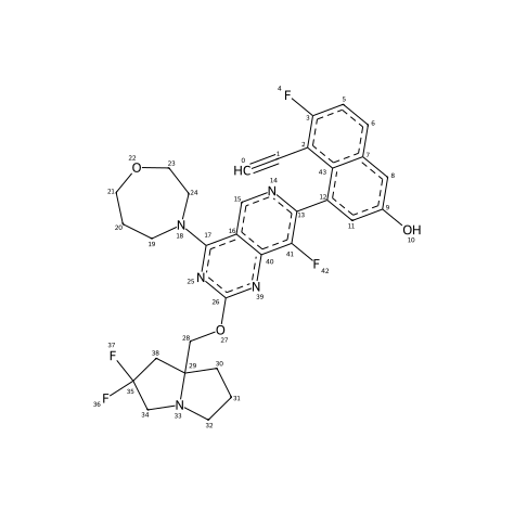 C#Cc1c(F)ccc2cc(O)cc(-c3ncc4c(N5CCCOCC5)nc(OCC56CCCN5CC(F)(F)C6)nc4c3F)c12